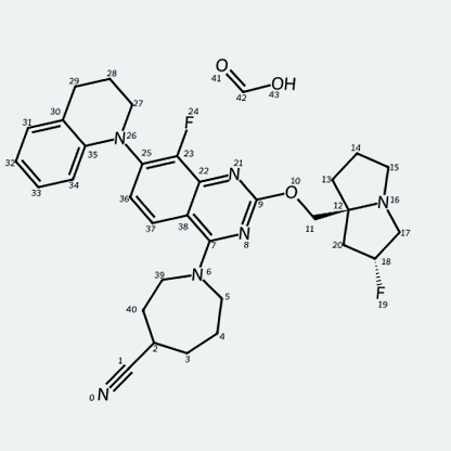 N#CC1CCCN(c2nc(OC[C@@]34CCCN3C[C@H](F)C4)nc3c(F)c(N4CCCc5ccccc54)ccc23)CC1.O=CO